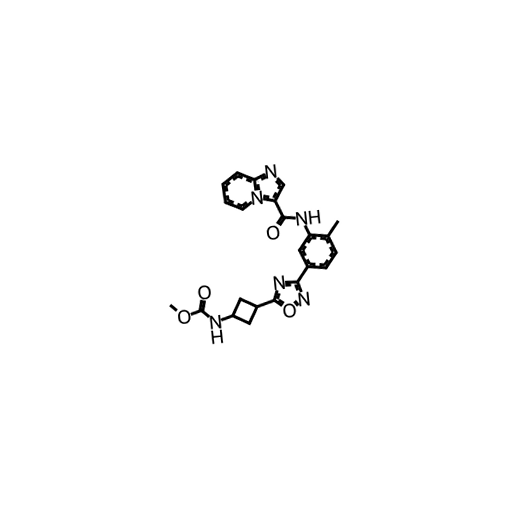 COC(=O)NC1CC(c2nc(-c3ccc(C)c(NC(=O)c4cnc5ccccn45)c3)no2)C1